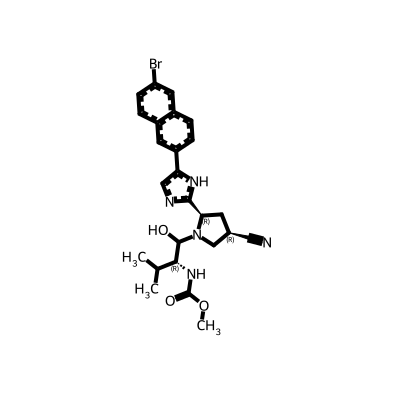 COC(=O)N[C@H](C(C)C)C(O)N1C[C@H](C#N)C[C@@H]1c1ncc(-c2ccc3cc(Br)ccc3c2)[nH]1